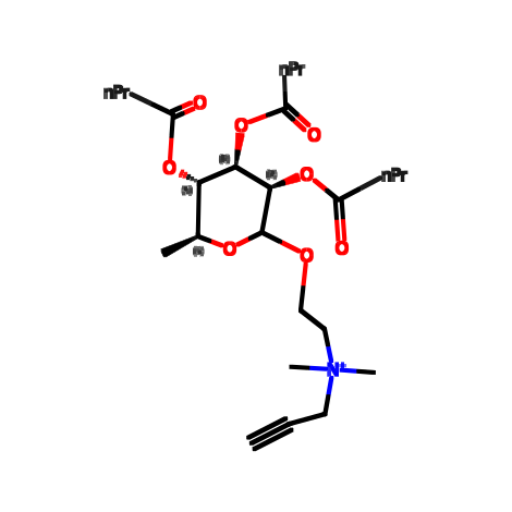 C#CC[N+](C)(C)CCOC1O[C@@H](C)[C@H](OC(=O)CCC)[C@@H](OC(=O)CCC)[C@H]1OC(=O)CCC